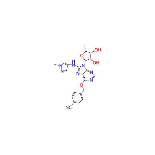 C[C@H]1O[C@@H](n2c(Nc3cnn(C)c3)nc3c(OCc4ccc(C#N)cc4)ncnc32)[C@H](O)[C@@H]1O